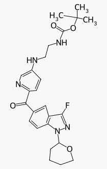 CC(C)(C)OC(=O)NCCNc1ccc(C(=O)c2ccc3c(c2)c(F)nn3C2CCCCO2)nc1